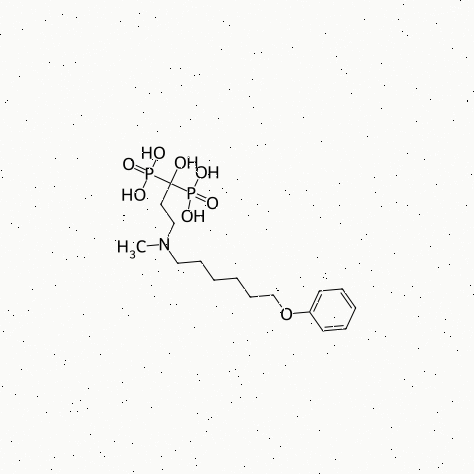 CN(CCCCCCOc1ccccc1)CCC(O)(P(=O)(O)O)P(=O)(O)O